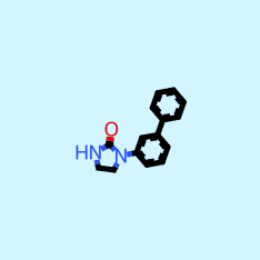 O=C1NCCN1c1cccc(-c2ccccc2)c1